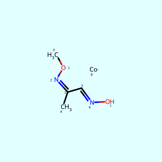 CON=C(C)C=NO.[Co]